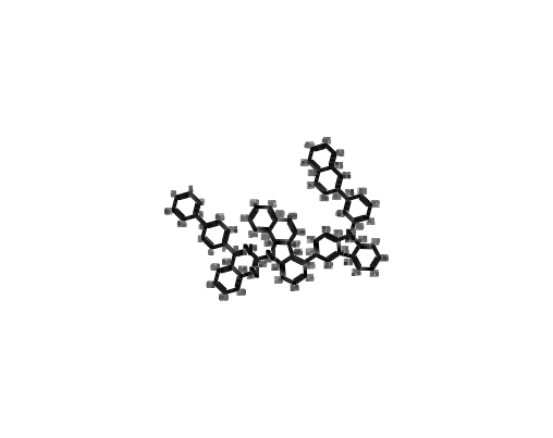 c1ccc(-c2ccc(-c3nc(-n4c5cccc(-c6ccc7c(c6)c6ccccc6n7-c6cccc(-c7ccc8ccccc8c7)c6)c5c5ccc6ccccc6c54)nc4ccccc34)cc2)cc1